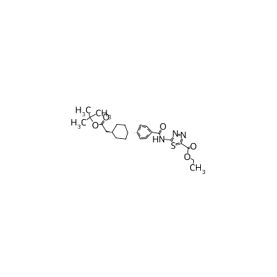 CCOC(=O)c1nnc(NC(=O)c2ccc([C@H]3CC[C@H](CC(=O)OC(C)(C)C)CC3)cc2)s1